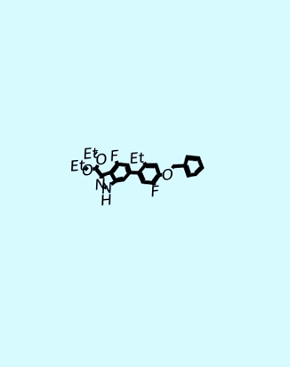 CCOC(OCC)c1n[nH]c2cc(-c3cc(F)c(OCc4ccccc4)cc3CC)cc(F)c12